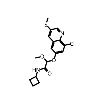 COC(Oc1cc(Cl)c2ncc(SC)cc2c1)C(=O)NC1CCC1